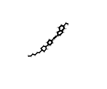 CCCCCCC1CCC(c2ccc(C#Cc3ccc4cc(CC)ccc4c3)cc2)CC1